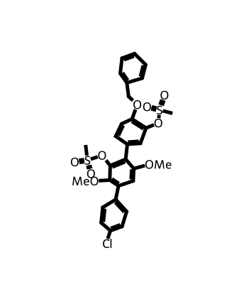 COc1cc(-c2ccc(Cl)cc2)c(OC)c(OS(C)(=O)=O)c1-c1ccc(OCc2ccccc2)c(OS(C)(=O)=O)c1